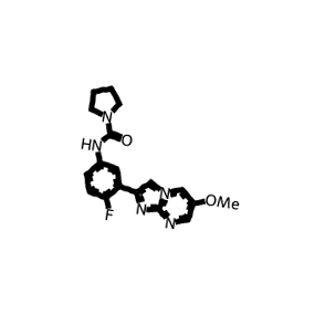 COc1cnc2nc(-c3cc(NC(=O)N4CCCC4)ccc3F)cn2c1